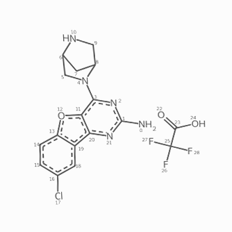 Nc1nc(N2CC3CC2CN3)c2oc3ccc(Cl)cc3c2n1.O=C(O)C(F)(F)F